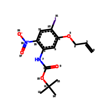 C=CCOc1cc(NC(=O)OC(C)(C)C)c([N+](=O)[O-])cc1I